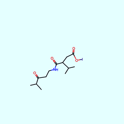 CC(C)C(=O)CCNC(=O)C(CC(=O)OI)C(C)C